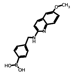 COc1ccc2nc(NCc3ccc(B(O)O)cc3)ccc2c1